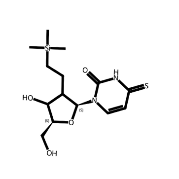 C[Si](C)(C)CCC1C(O)[C@H](CO)O[C@@H]1n1ccc(=S)[nH]c1=O